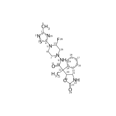 Cc1nsc(N2CCN(NC(=O)C(C)(c3ccccc3)C3CNC(=O)O3)CC2F)n1